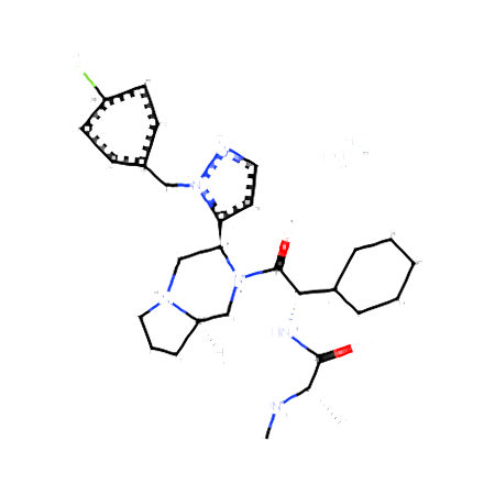 CN[C@@H](C)C(=O)N[C@H](C(=O)N1C[C@H]2CCCN2C[C@H]1c1ccnn1Cc1ccc(F)cc1)C1CCCCC1.Cl.Cl